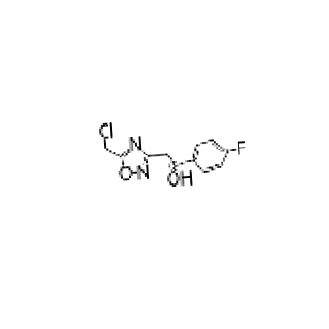 O[C@@H](Cc1noc(CCl)n1)c1ccc(F)cc1